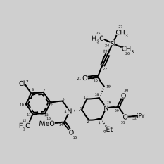 CC[C@@H]1C[C@H](N(Cc2cc(Cl)cc(C(F)(F)F)c2)C(=O)OC)C[C@H](CC(=O)C#C[Si](C)(C)C)N1C(=O)OC(C)C